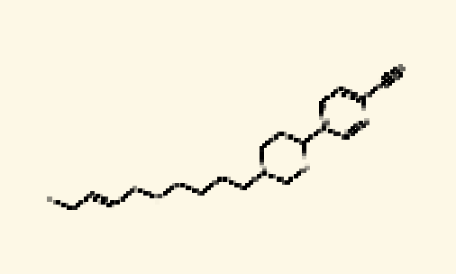 CC/C=C/COCCCCC1CCC(c2ccc(C#N)cc2)CC1